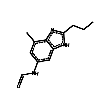 CCCc1nc2c(C)cc(NC=O)cc2[nH]1